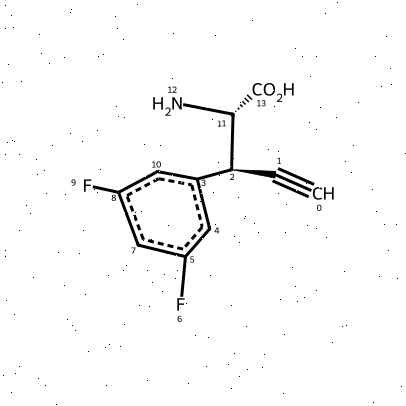 C#C[C@@H](c1cc(F)cc(F)c1)[C@H](N)C(=O)O